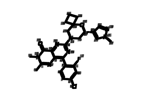 Cc1nc2c(-c3ccc(Cl)cc3F)nc(N3C[C@@H](c4cnn(C)c4)OC4(CCC4)C3)nc2c(=O)n1C